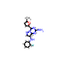 Cc1ccc(-c2nc(N)nc3c(Nc4ccccc4F)cnn23)o1